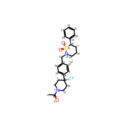 CC(=O)N1CCC(F)(c2ccc(CN3[C@@H](C)CC[C@H](c4ccccc4)S3(=O)=O)cc2)CC1